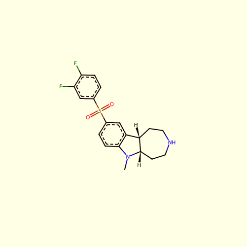 CN1c2ccc(S(=O)(=O)c3ccc(F)c(F)c3)cc2[C@@H]2CCNCC[C@@H]21